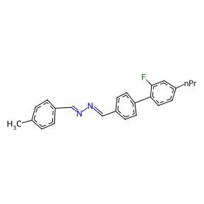 CCCc1ccc(-c2ccc(C=NN=Cc3ccc(C)cc3)cc2)c(F)c1